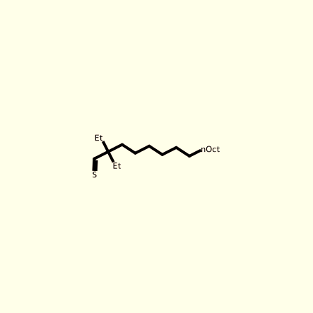 CCCCCCCCCCCCCCC(C=S)(CC)CC